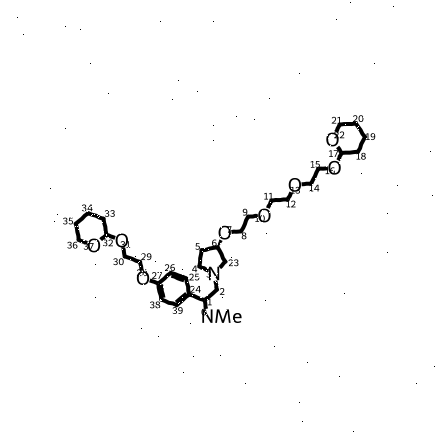 CNC(CN1CC[C@@H](OCCOCCOCCOC2CCCCO2)C1)c1ccc(OCCOC2CCCCO2)cc1